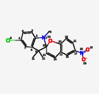 CN1c2ccc(Cl)cc2C(C)(C)C12C=Cc1cc([N+](=O)[O-])ccc1O2